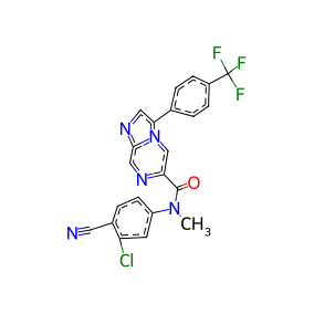 CN(C(=O)c1cn2c(-c3ccc(C(F)(F)F)cc3)cnc2cn1)c1ccc(C#N)c(Cl)c1